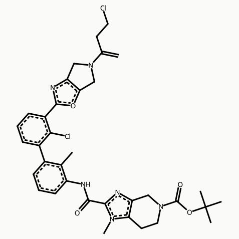 C=C(CCCl)N1Cc2nc(-c3cccc(-c4cccc(NC(=O)c5nc6c(n5C)CCN(C(=O)OC(C)(C)C)C6)c4C)c3Cl)oc2C1